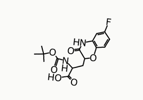 CC(C)(C)OC(=O)NC(CC1Oc2ccc(F)cc2NC1=O)C(=O)O